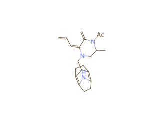 C=C/C=C1\C(=C)N(C(C)=O)C(C)CN1CC1C2=C3CCC(=C1CC2)N3